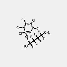 CC(F)(F)C(F)(F)C(F)(F)C(O)(F)F.ClN1P(Cl)N=P(Cl)(Cl)N(Cl)P1Cl